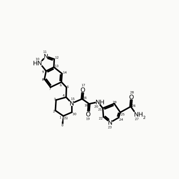 C[C@H]1CCC(Cc2ccc3[nH]ncc3c2)N(C(=O)C(=O)Nc2cncc(C(N)=O)c2)C1